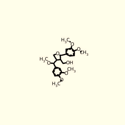 COc1ccc(C(OC)C2COC(c3ccc(OC)c(OC)c3)C2CO)cc1OC